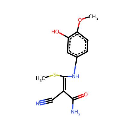 COc1ccc(NC(SC)=C(C#N)C(N)=O)cc1O